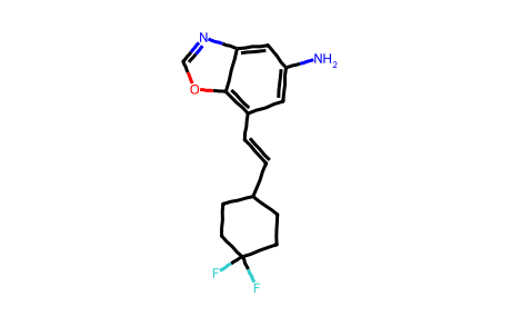 Nc1cc(/C=C/C2CCC(F)(F)CC2)c2ocnc2c1